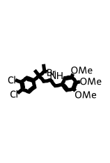 COc1cc(CC(=N)CC(C)(c2ccc(Cl)c(Cl)c2)C(C)Br)cc(OC)c1OC